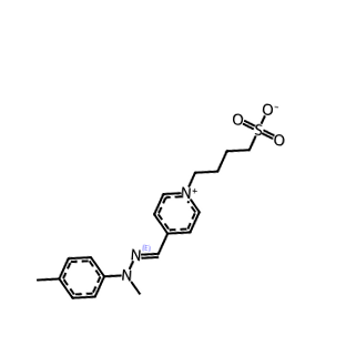 Cc1ccc(N(C)/N=C/c2cc[n+](CCCCS(=O)(=O)[O-])cc2)cc1